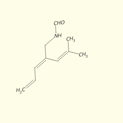 C=C/C=C(\C=C(C)C)CNC=O